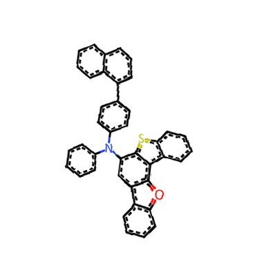 c1ccc(N(c2ccc(-c3cccc4ccccc34)cc2)c2cc3c4ccccc4oc3c3c2sc2ccccc23)cc1